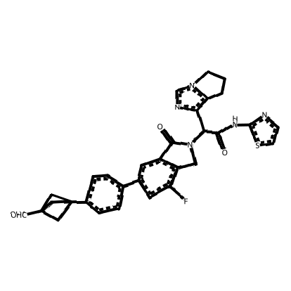 O=CC12CC(c3ccc(-c4cc(F)c5c(c4)C(=O)N(C(C(=O)Nc4nccs4)c4ncn6c4CCC6)C5)cc3)(C1)C2